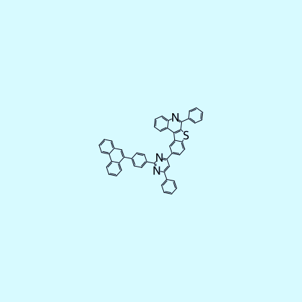 c1ccc(-c2cc(-c3ccc4sc5c(-c6ccccc6)nc6ccccc6c5c4c3)nc(-c3ccc(-c4cc5ccccc5c5ccccc45)cc3)n2)cc1